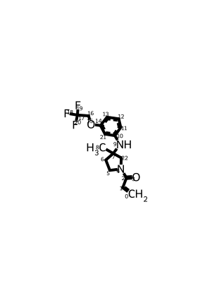 C=CC(=O)N1CCC(C)(Nc2cccc(OCC(F)(F)F)c2)C1